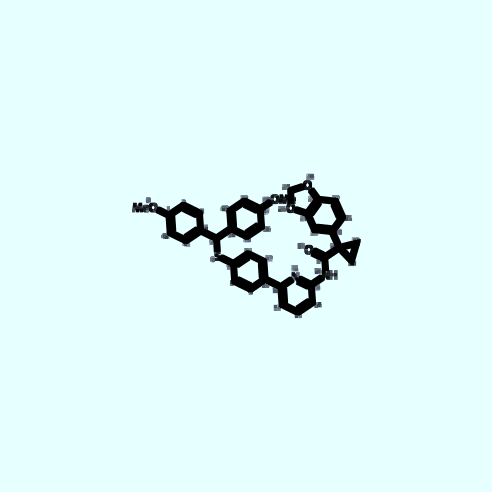 COc1ccc(C(Sc2ccc(-c3cccc(NC(=O)C4(c5ccc6c(c5)OCO6)CC4)n3)cc2)c2ccc(OC)cc2)cc1